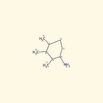 CC1CCC(N)C(C)C1C